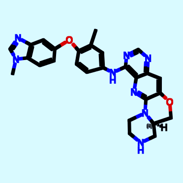 Cc1cc(Nc2ncnc3cc4c(nc23)N2CCNC[C@@H]2CO4)ccc1Oc1ccc2c(c1)ncn2C